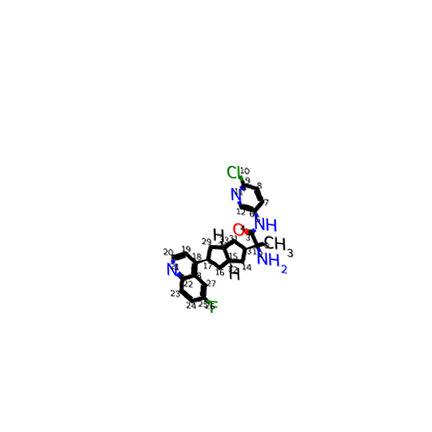 CC(N)(C(=O)Nc1ccc(Cl)nc1)[C@H]1C[C@H]2C[C@@H](c3ccnc4ccc(F)cc34)C[C@H]2C1